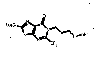 CCCOCCCn1c(C(F)(F)F)nc2sc(SC)nc2c1=O